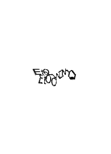 CCOC(CC(=O)N1CCN(Cc2ccccc2)CC1)OCC